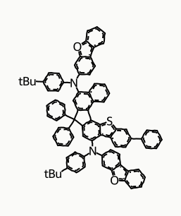 CC(C)(C)c1ccc(N(c2ccc3c(c2)oc2ccccc23)c2cc3c(c4ccccc24)-c2c(cc(N(c4ccc(C(C)(C)C)cc4)c4ccc5c(c4)oc4ccccc45)c4c2sc2cc(-c5ccccc5)ccc24)C3(c2ccccc2)c2ccccc2)cc1